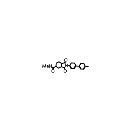 CNC(=O)C1CCC2C(=O)N(C3=CC=C(C4=CC=C(C)CC4)CC3)C(=O)C2C1